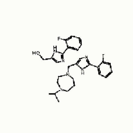 CC(C)N1CCCN(Cc2cnc(-c3ccccc3F)[nH]2)CC1.OCc1cnc(-c2ccccc2F)[nH]1